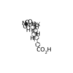 C=C(C)[C@@H]1CC[C@]2(C(=O)NS(=O)(=O)N(C)C)CC[C@]3(C)[C@H](CC[C@@H]4[C@@]5(C)CC=C(c6ccc(C(=O)O)cc6)C(C)(C)[C@@H]5CC[C@]43C)[C@@H]12